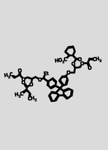 C=CC(=C)C(=O)OC(COC(=O)C=C)COC(CC)c1ccc(C2(c3ccc(OCC(COC(=O)C=C)OC(=O)C4CC=CCC4C(=O)O)cc3)c3ccccc3-c3ccccc32)cc1